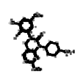 CNc1ncc2c(n1)N(C1CCC(C(=O)O)CC1)C(=O)N(c1cc(OC)cc(O)c1F)C2